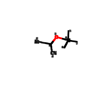 CCC(C#N)O[Si](C)(C)C